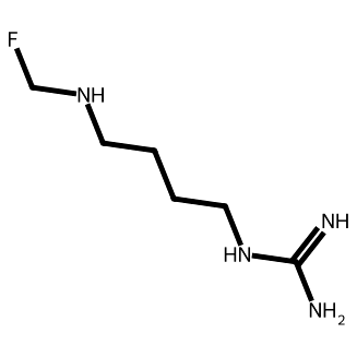 N=C(N)NCCCCNCF